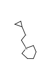 [CH](CN1CCCCC1)C1CC1